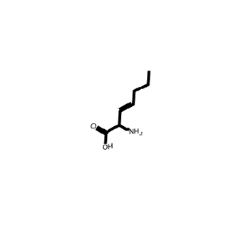 CCCC=CC(N)C(=O)O